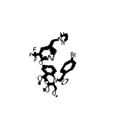 COCC(COC)N(C(=O)C1C=CC(Br)=CC1)c1ccc(Oc2ncc(Cn3nccn3)cc2C(F)(F)F)cc1C(=O)OC